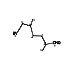 CC(C)CC(C)CCC(C)C=O